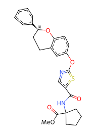 COC(=O)C1(NC(=O)c2cnc(Oc3ccc4c(c3)CC[C@@H](c3ccccc3)O4)s2)CCCC1